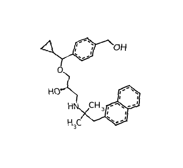 CC(C)(Cc1ccc2ccccc2c1)NC[C@@H](O)COC(c1ccc(CO)cc1)C1CC1